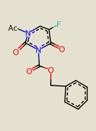 CC(=O)n1cc(F)c(=O)n(C(=O)OCc2ccccc2)c1=O